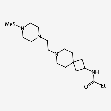 CCC(=O)NC1CC2(CCN(CCN3CCN(SC)CC3)CC2)C1